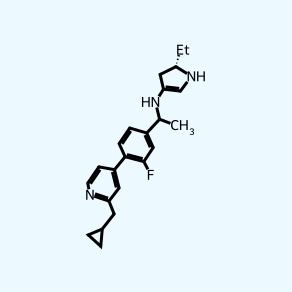 CC[C@H]1CC(NC(C)c2ccc(-c3ccnc(CC4CC4)c3)c(F)c2)=CN1